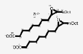 CCCCCCCCC1OC1CCCCCCCC(=O)[O-].CCCCCCCCC1OC1CCCCCCCC(=O)[O-].[Zr+2]